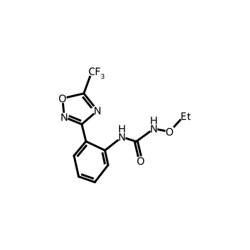 CCONC(=O)Nc1ccccc1-c1noc(C(F)(F)F)n1